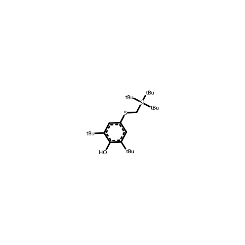 CC(C)(C)c1cc(SC[Si](C(C)(C)C)(C(C)(C)C)C(C)(C)C)cc(C(C)(C)C)c1O